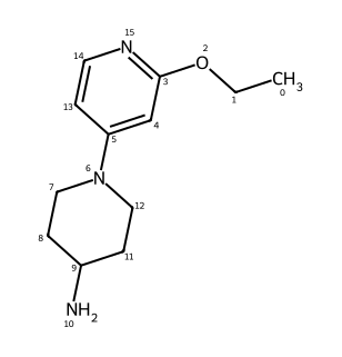 CCOc1cc(N2CCC(N)CC2)ccn1